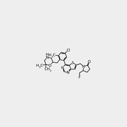 Cc1cc(Cl)cc(-c2ncnc3cc(CN4C(=O)CCC4CF)sc23)c1CC1CNCC(C)(C)O1